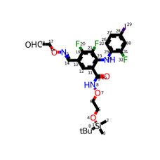 CC(C)(C)[Si](C)(C)OCCONC(=O)c1cc(C=NOCC=O)c(F)c(F)c1Nc1ccc(I)cc1F